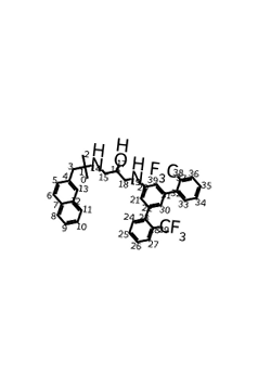 CC(C)(Cc1ccc2ccccc2c1)NCC(O)CNc1cc(-c2ccccc2C(F)(F)F)cc(-c2ccccc2C(F)(F)F)c1